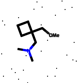 COCC1(CN(C)C)CCC1